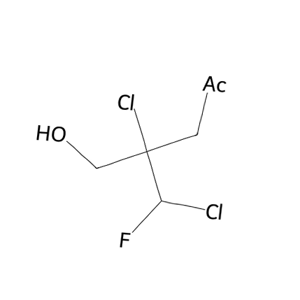 CC(=O)CC(Cl)(CO)C(F)Cl